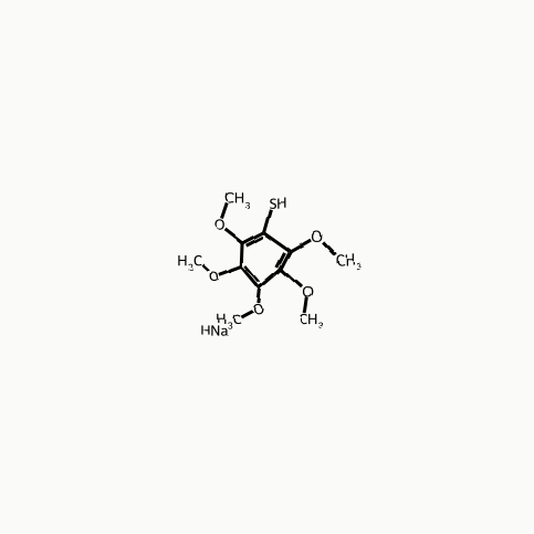 COc1c(S)c(OC)c(OC)c(OC)c1OC.[NaH]